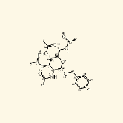 CC(=O)NC1C(OC(C)=O)[C@H](OC(C)=O)C(COC(C)=O)O[C@@H]1OCc1ccccc1